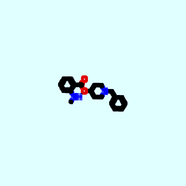 CNc1ccccc1C(=O)OC1CCN(Cc2ccccc2)CC1